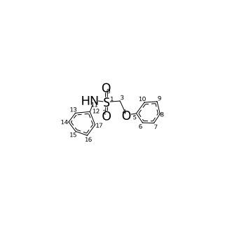 O=S(=O)(COc1ccccc1)Nc1ccccc1